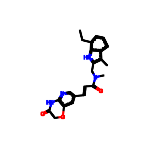 CCc1cccc2c(C)c(CN(C)C(=O)/C=C/c3cnc4c(c3)OCC(=O)N4)[nH]c12